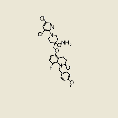 COc1ccc(CN2C(=O)CCc3c(OCC4(ON)CCN(c5ncc(Cl)cc5Cl)CC4)ccc(F)c32)cc1